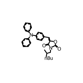 CCCCC(C)CN1C(=O)O/C(=C/c2ccc(N(c3ccccc3)c3ccccc3)cc2)C1=O